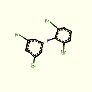 Brc1cccc(Br)c1.Brc1cccc(Br)c1I